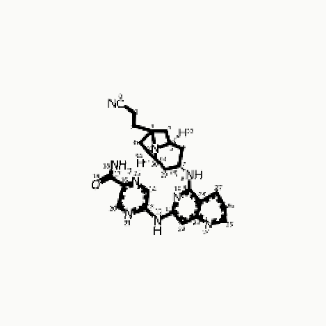 N#CCCC12C[C@H]3C[C@H](Nc4nc(Nc5cnc(C(N)=O)cn5)cc5ncccc45)C[C@@H](C1)N32